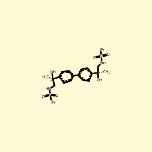 CC(C)S(=O)(=O)NC[C@@](C)(O)c1ccc(-c2ccc([C@](C)(O)CNS(=O)(=O)C(C)C)cc2)cc1